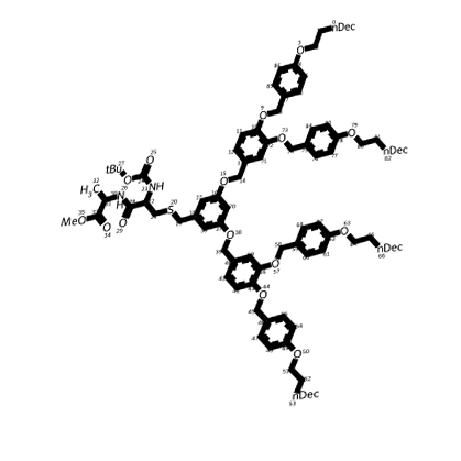 CCCCCCCCCCCCOc1ccc(COc2ccc(COc3cc(CSCC(NC(=O)OC(C)(C)C)C(=O)NC(C)C(=O)OC)cc(OCc4ccc(OCc5ccc(OCCCCCCCCCCCC)cc5)c(OCc5ccc(OCCCCCCCCCCCC)cc5)c4)c3)cc2OCc2ccc(OCCCCCCCCCCCC)cc2)cc1